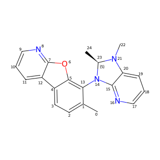 Cc1ccc2c(oc3ncccc32)c1N1c2ncccc2N(C)[C@@H]1C